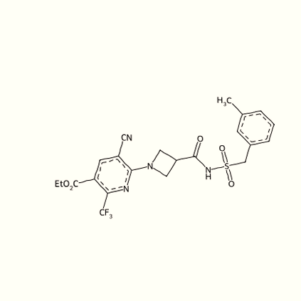 CCOC(=O)c1cc(C#N)c(N2CC(C(=O)NS(=O)(=O)Cc3cccc(C)c3)C2)nc1C(F)(F)F